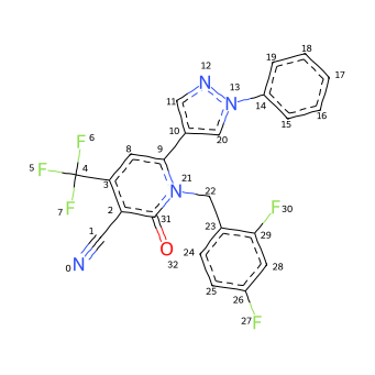 N#Cc1c(C(F)(F)F)cc(-c2cnn(-c3ccccc3)c2)n(Cc2ccc(F)cc2F)c1=O